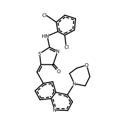 O=C1N=C(Nc2c(Cl)cccc2Cl)SC1=Cc1ccc2nccc(N3CCOCC3)c2c1